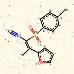 [C-]#[N+]/C(=C(\C)c1ccco1)S(=O)(=O)c1ccc(C)cc1